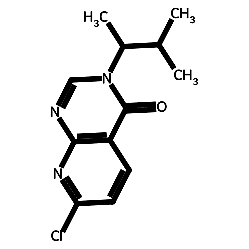 CC(C)C(C)n1cnc2nc(Cl)ccc2c1=O